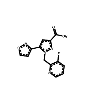 O=C(O)c1cc(-c2ccon2)n(Cc2ncccc2F)n1